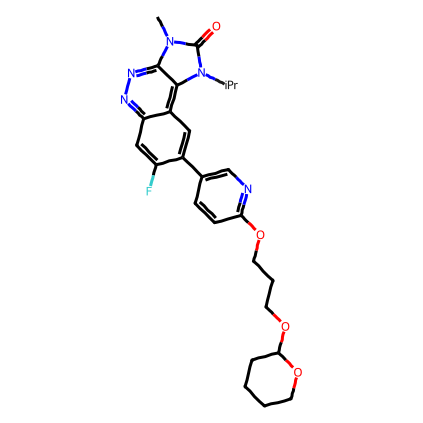 CC(C)n1c(=O)n(C)c2nnc3cc(F)c(-c4ccc(OCCCOC5CCCCO5)nc4)cc3c21